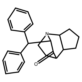 O=C1C2CCN(C3CCCC23)C1C(c1ccccc1)c1ccccc1